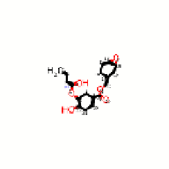 C=C/C=C(\O)OC1CC(C(=O)OCC2CCC3OC3C2)CCC1O